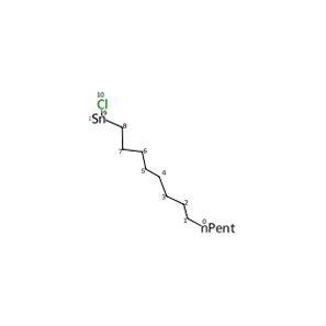 CCCCCCCCCCCC[CH2][Sn][Cl]